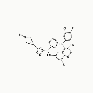 CCN1CC2C(C1)C2n1cc(C(Nc2cc(Cl)c3ncc(C#N)c(Nc4ccc(F)c(Cl)c4)c3c2)c2ccccc2)nn1